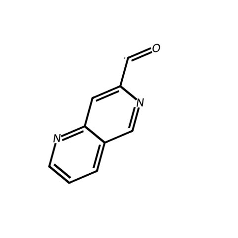 O=[C]c1cc2ncccc2cn1